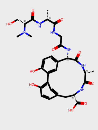 C[C@H]1NC(=O)[C@@H](NC(=O)CNC(=O)[C@@H](C)NC(=O)[C@@H](CO)N(C)C)c2ccc(O)c(c2)-c2cc(ccc2O)C[C@@H](C(=O)O)NC1=O